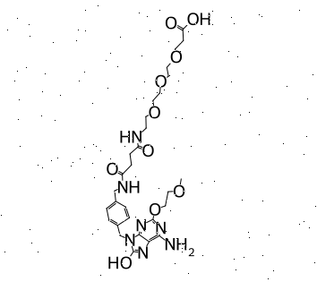 COCCOc1nc(N)c2nc(O)n(Cc3ccc(CNC(=O)CCC(=O)NCCOCCOCCOCCC(=O)O)cc3)c2n1